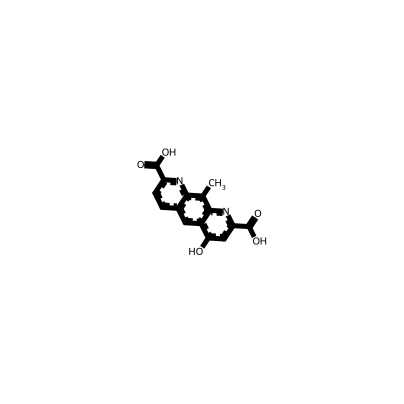 Cc1c2nc(C(=O)O)ccc2cc2c(O)cc(C(=O)O)nc12